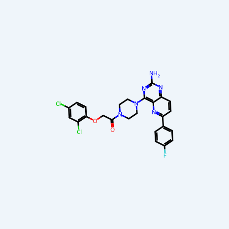 Nc1nc(N2CCN(C(=O)COc3ccc(Cl)cc3Cl)CC2)c2nc(-c3ccc(F)cc3)ccc2n1